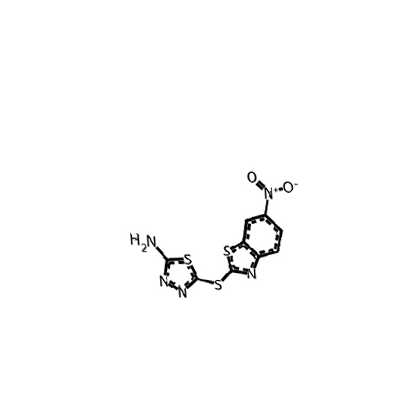 Nc1nnc(Sc2nc3ccc([N+](=O)[O-])cc3s2)s1